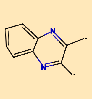 [CH2]c1nc2ccccc2nc1[CH2]